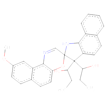 CCC(O)C1(C(O)CC)c2ccc3ccccc3c2NC12C=Nc1c(ccc3ccc(OC)cc13)O2